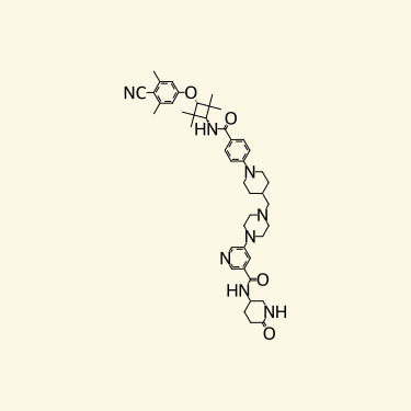 Cc1cc(O[C@H]2C(C)(C)[C@H](NC(=O)c3ccc(N4CCC(CN5CCN(c6cncc(C(=O)NC7CCC(=O)NC7)c6)CC5)CC4)cc3)C2(C)C)cc(C)c1C#N